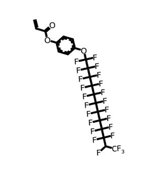 C=CC(=O)Oc1ccc(OC(F)(F)C(F)(F)C(F)(F)C(F)(F)C(F)(F)C(F)(F)C(F)(F)C(F)(F)C(F)(F)C(F)(F)C(F)C(F)(F)F)cc1